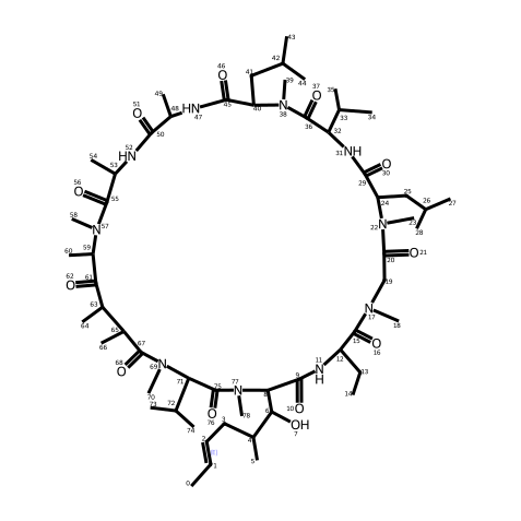 C/C=C/CC(C)C(O)C1C(=O)NC(CC)C(=O)N(C)CC(=O)N(C)C(CC(C)C)C(=O)NC(C(C)C)C(=O)N(C)C(CC(C)C)C(=O)NC(C)C(=O)NC(C)C(=O)N(C)C(C)C(=O)C(C)C(C)C(=O)N(C)C(C(C)C)C(=O)N1C